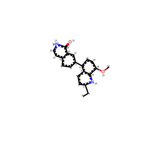 CCc1ccc2c(-c3ccc4cc[nH]c(=O)c4c3)ccc(OC)c2n1